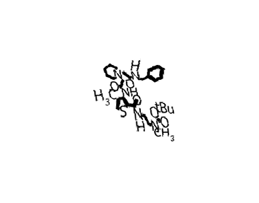 Cc1csc(C(=O)NCCN(C)C(=O)OC(C)(C)C)c1NC(=O)C[N+]1(CC(=O)NCc2ccccc2)CCCCC1